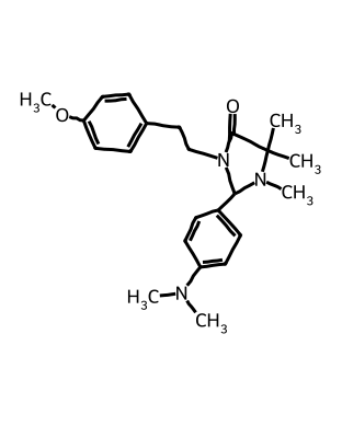 COc1ccc(CCN2C(=O)C(C)(C)N(C)C2c2ccc(N(C)C)cc2)cc1